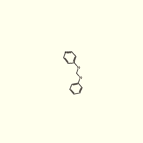 c1ccc([N]C[N]c2ccccc2)cc1